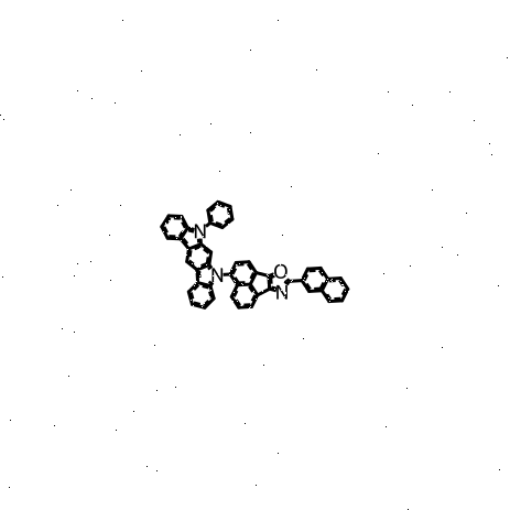 c1ccc(-n2c3ccccc3c3cc4c5ccccc5n(-c5ccc6c7c(cccc57)-c5nc(-c7ccc8ccccc8c7)oc5-6)c4cc32)cc1